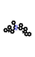 CC1(C)c2ccc3ccccc3c2-c2cccc(-c3ccc(-c4nc(-c5ccccc5)cc(-c5cccc6c5-c5ccccc5C6(C)c5ccccc5)n4)c4ccccc34)c21